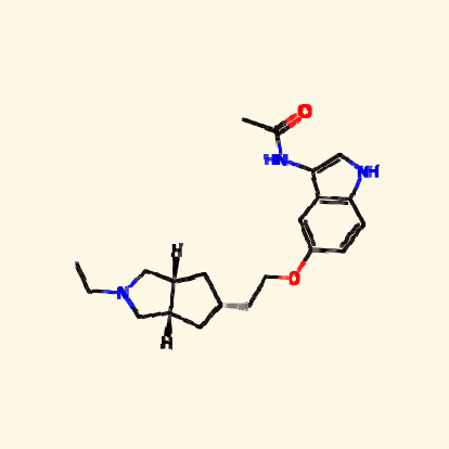 CCN1C[C@H]2C[C@@H](CCOc3ccc4[nH]cc(NC(C)=O)c4c3)C[C@H]2C1